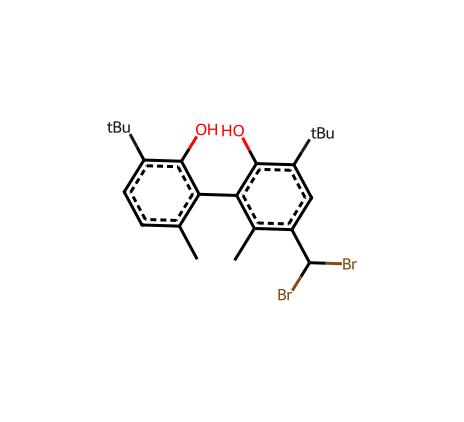 Cc1ccc(C(C)(C)C)c(O)c1-c1c(C)c(C(Br)Br)cc(C(C)(C)C)c1O